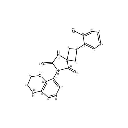 O=C1NC2(CC(c3ccccc3Cl)C2)C(=O)N1c1cncc2c1OCCN2